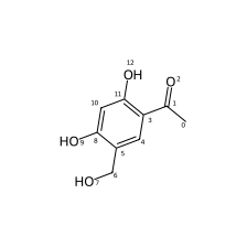 CC(=O)c1cc(CO)c(O)cc1O